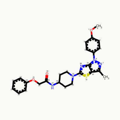 COc1ccc(-n2nc(C)c3sc(N4CCC(NC(=O)COc5ccccc5)CC4)nc32)cc1